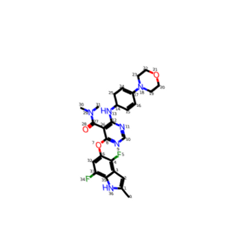 Cc1cc2c(F)c(Oc3ncnc(NC4C=CC(N5CCOCC5)=CC4)c3C(=O)N(C)C)cc(F)c2[nH]1